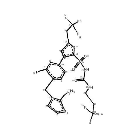 Cc1nccn1Cc1ccc(-c2cc(CC(F)(F)F)sc2S(=O)(=O)NC(=O)NCCC(F)(F)F)cc1F